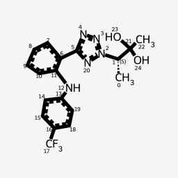 C[C@H](n1nnc(-c2ccccc2Nc2ccc(C(F)(F)F)cc2)n1)C(C)(O)O